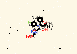 CC1(C)Oc2ccc(C#N)cc2[C@H](N(Cc2nc(CO)no2)c2ccc(F)cc2)[C@H]1O